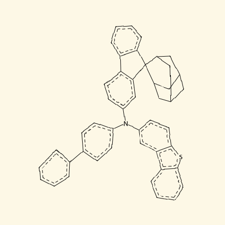 c1ccc(-c2ccc(N(c3ccc4c(c3)C3(c5ccccc5-4)C4CC5CC(C4)CC3C5)c3ccc4sc5ccccc5c4c3)cc2)cc1